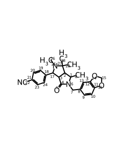 CC1C2C(C(=O)N1Cc1ccc3c(c1)OCO3)C(c1ccc(C#N)cc1)N(C)C2(C)C